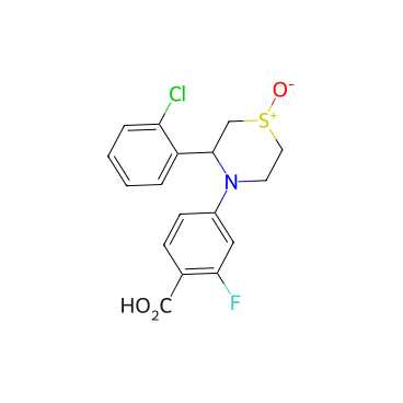 O=C(O)c1ccc(N2CC[S+]([O-])CC2c2ccccc2Cl)cc1F